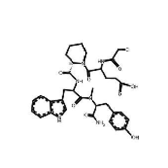 CN(C(=O)C(Cc1c[nH]c2ccccc12)NC(=O)[C@@H]1CCCCN1C(=O)C(CCC(=O)O)NC(=O)CCl)C(Cc1ccc(O)cc1)C(N)=O